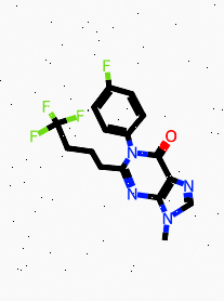 Cn1cnc2c(=O)n(-c3ccc(F)cc3)c(CCCC(F)(F)F)nc21